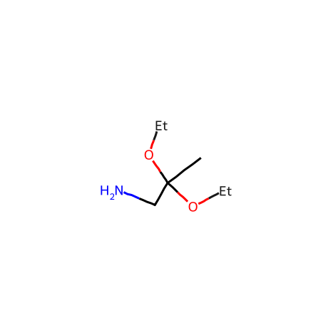 CCOC(C)(CN)OCC